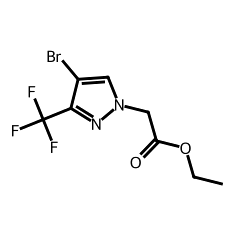 CCOC(=O)Cn1cc(Br)c(C(F)(F)F)n1